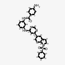 Nc1ccc(C(=O)Nc2cccc(Nc3cc(-c4cnc5c(ccn5S(=O)(=O)c5ccccc5)c4)ncn3)c2)cc1